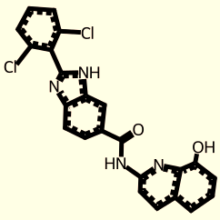 O=C(Nc1ccc2cccc(O)c2n1)c1ccc2nc(-c3c(Cl)cccc3Cl)[nH]c2c1